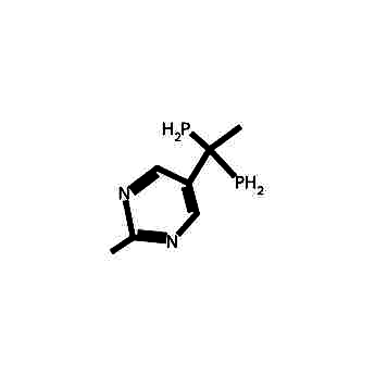 Cc1ncc(C(C)(P)P)cn1